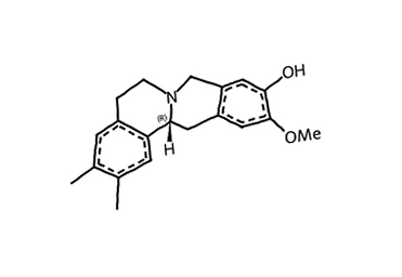 COc1cc2c(cc1O)CN1CCc3cc(C)c(C)cc3[C@H]1C2